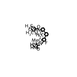 COc1cc(-c2cccc(-c3cccc(NC(=O)C4=CN(C)C(=O)N(C)C4)c3C)c2C)cc(F)c1CNCc1c[nH]c(=O)[nH]c1=O